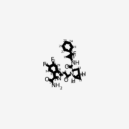 NC(=O)c1nn(CC(=O)N2[C@@H]3C[C@@H]3C[C@H]2C(=O)NC2CC2(F)c2ccccc2)c2cc(F)c(F)cc12